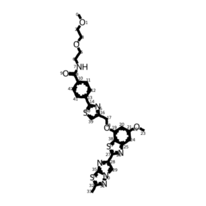 COCCOCCNC(=O)c1ccc(-c2nc(COc3cc(OC)cc4nc(-c5cn6nc(C)sc6n5)sc34)cs2)cc1